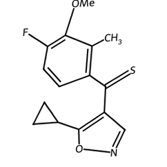 COc1c(F)ccc(C(=S)c2cnoc2C2CC2)c1C